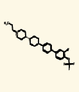 CCC[SiH]1CCC([C@H]2CC[C@H](c3ccc(-c4ccc(OC(F)(F)F)c(F)c4)cc3)CC2)CC1